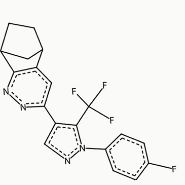 Fc1ccc(-n2ncc(-c3cc4c(nn3)C3CCC4C3)c2C(F)(F)F)cc1